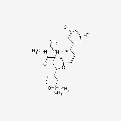 CN1C(=O)C2(CC(C3CCOC(C)(C)C3)Oc3ccc(-c4cc(F)cc(Cl)c4)cc32)N=C1N